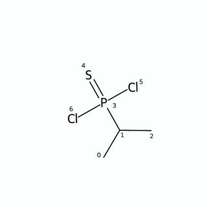 CC(C)P(=S)(Cl)Cl